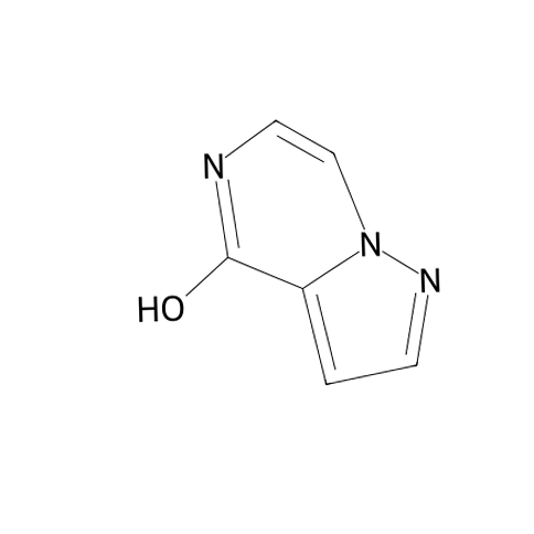 Oc1nccn2nccc12